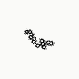 c1cc(-c2ccc3c(c2)oc2c3ccc3c2sc2ccc4ccccc4c23)cc(-c2c3ccccc3c(-c3ccc4ccccc4c3)c3ccccc23)c1